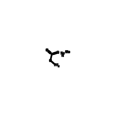 [Mo].[NaH].[O]=[V](=[O])[O]P